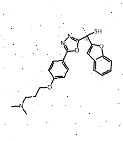 CN(C)CCCOc1ccc(-c2nnc([C@@](C)(S)c3cc4ccccc4o3)o2)cc1